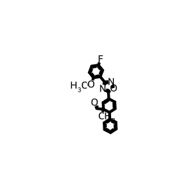 COc1ccc(F)cc1-c1noc(C2=CC(C)(C=O)C(c3ccccc3)C=C2)n1